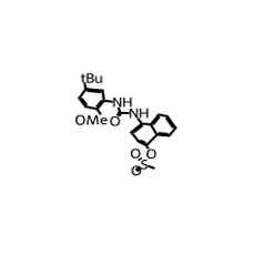 COc1ccc(C(C)(C)C)cc1NC(=O)Nc1ccc(OS(C)(=O)=O)c2ccccc12